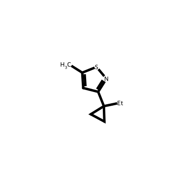 CCC1(c2cc(C)sn2)CC1